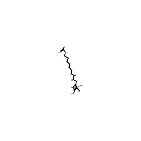 CC(=O)SCCCCCCCCCCC12CC(F)(C1)[C@@H]2C